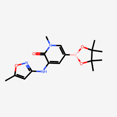 Cc1cc(Nc2cc(B3OC(C)(C)C(C)(C)O3)cn(C)c2=O)no1